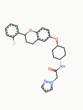 O=C(Cn1cccn1)N[C@H]1CC[C@H](Oc2ccc3c(c2)CCC(c2ccccc2F)O3)CC1